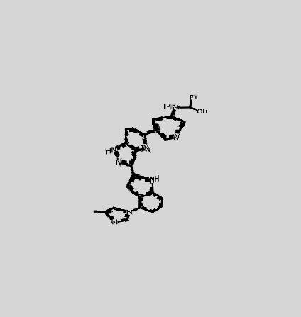 CCC(O)Nc1cncc(-c2ccc3[nH]nc(-c4cc5c(-n6cnc(C)c6)cccc5[nH]4)c3n2)c1